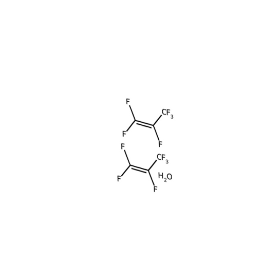 FC(F)=C(F)C(F)(F)F.FC(F)=C(F)C(F)(F)F.O